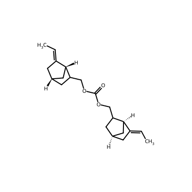 C/C=C1\C[C@H]2CC(COC(=O)OCC3C[C@@H]4C/C(=C\C)[C@H]3C4)[C@@H]1C2